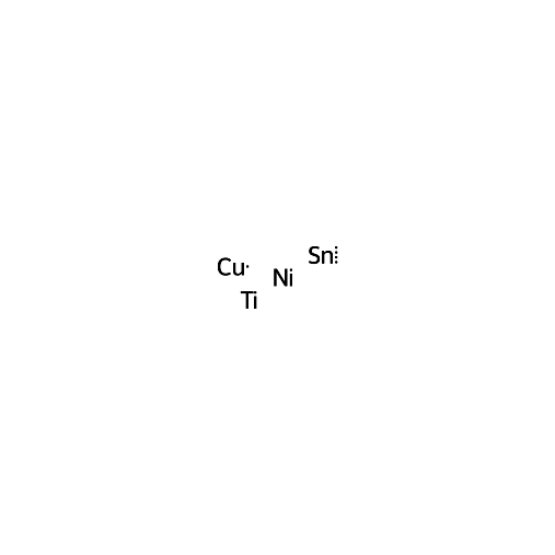 [Cu].[Ni].[Sn].[Ti]